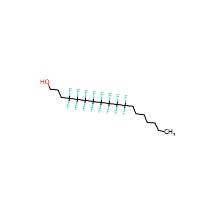 CCCCCCCC(F)(F)C(F)(F)C(F)(F)C(F)(F)C(F)(F)C(F)(F)C(F)(F)C(F)(F)CCCO